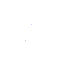 COC(=O)c1cc2c([n+]([O-])c1)CCCCC2